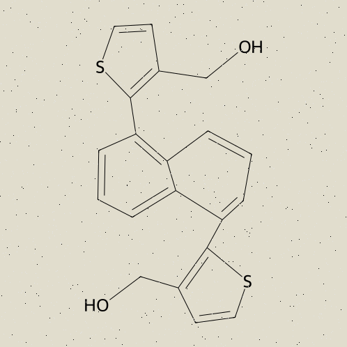 OCc1ccsc1-c1cccc2c(-c3sccc3CO)cccc12